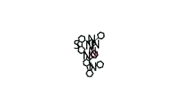 c1ccc(-c2nc(-c3ccccc3)nc(-c3cccc4sc5ccc(-n6c7ccc8c9ccccc9n(-c9ccccc9)c8c7c7cccnc76)cc5c34)n2)cc1